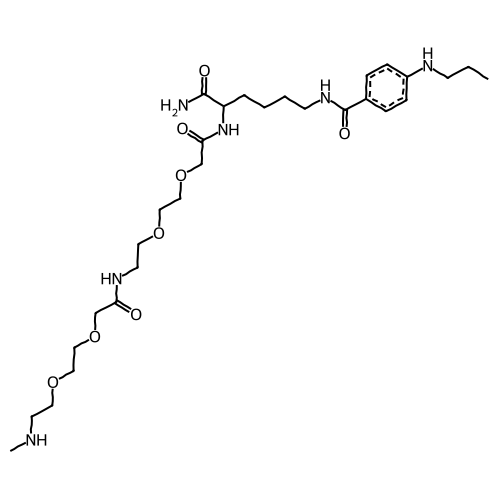 CCCNc1ccc(C(=O)NCCCCC(NC(=O)COCCOCCNC(=O)COCCOCCNC)C(N)=O)cc1